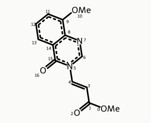 COC(=O)/C=C/n1cnc2c(OC)cccc2c1=O